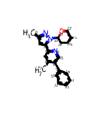 Cc1cc(-c2cc(C)c(-c3ccccc3)cn2)n(C2CCCCO2)n1